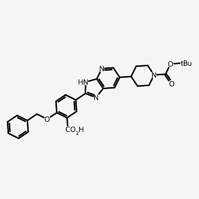 CC(C)(C)OC(=O)N1CCC(c2cnc3[nH]c(-c4ccc(OCc5ccccc5)c(C(=O)O)c4)nc3c2)CC1